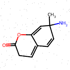 CC1(N)C=CC2=CCC(=O)OC2=C1